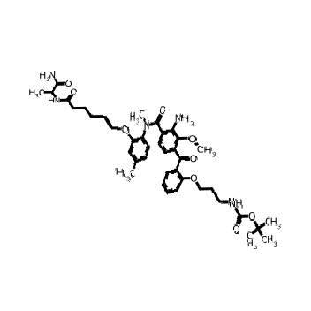 COc1c(C(=O)c2ccccc2OCCCNC(=O)OC(C)(C)C)ccc(C(=O)N(C)c2ccc(C)cc2OCCCCCC(=O)NC(C)C(N)=O)c1N